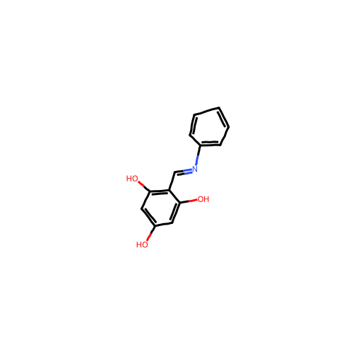 Oc1cc(O)c(/C=N/c2ccccc2)c(O)c1